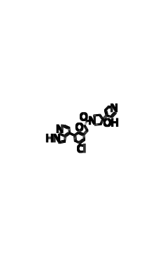 O=C([C@@H]1Cc2cc(Cl)cc(-c3ccnc4[nH]ccc34)c2O1)N1CCC(O)(c2ccncc2)CC1